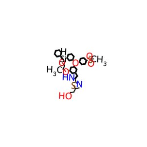 CC(CO[SiH](c1ccccc1)c1ccccc1)Oc1cc(Oc2ccc(S(C)(=O)=O)cc2)cc2cc(C3=NCC(CCO)S3)[nH]c12